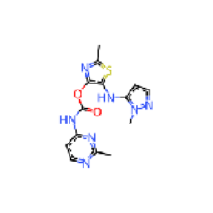 Cc1nccc(NC(=O)Oc2nc(C)sc2Nc2ccnn2C)n1